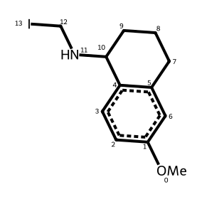 COc1ccc2c(c1)CCCC2NCI